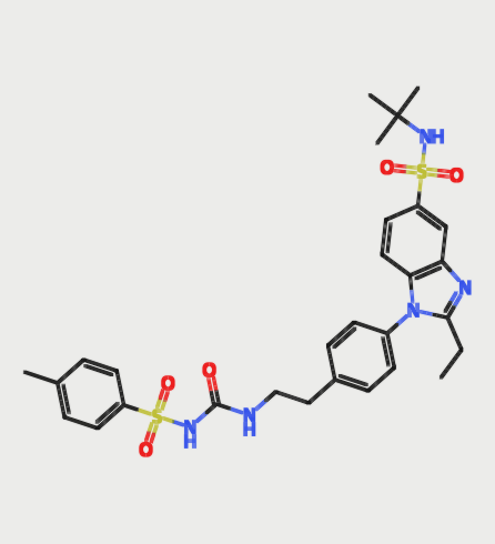 CCc1nc2cc(S(=O)(=O)NC(C)(C)C)ccc2n1-c1ccc(CCNC(=O)NS(=O)(=O)c2ccc(C)cc2)cc1